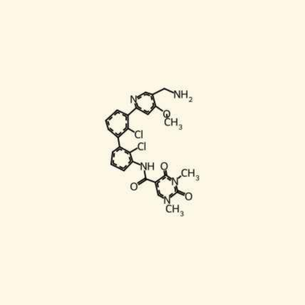 COc1cc(-c2cccc(-c3cccc(NC(=O)c4cn(C)c(=O)n(C)c4=O)c3Cl)c2Cl)ncc1CN